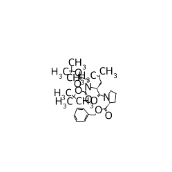 CC(C)C[C@@H](C(=O)N1CCC[C@H]1C(=O)OCc1ccccc1)N(CC(=O)OC(C)(C)C)C(=O)OC(C)(C)C